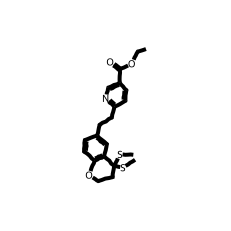 CCOC(=O)c1ccc(CCc2ccc3c(c2)C(SC)(SC)CCO3)nc1